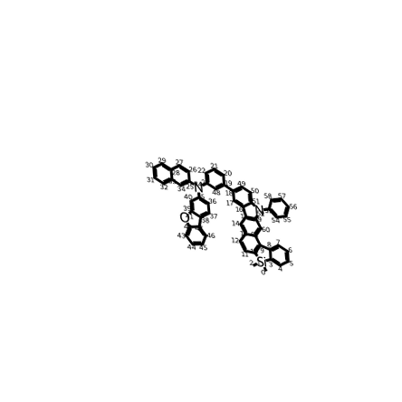 C[Si]1(C)c2ccccc2-c2c1ccc1cc3c4cc(-c5cccc(N(c6ccc7ccccc7c6)c6ccc7c(c6)oc6ccccc67)c5)ccc4n(-c4ccccc4)c3cc21